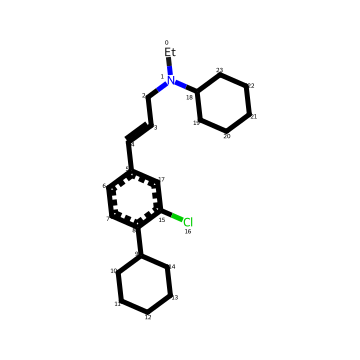 CCN(CC=Cc1ccc(C2CCCCC2)c(Cl)c1)C1CCCCC1